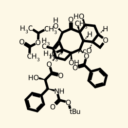 CC(=O)OC(C)C.CC(=O)O[C@@]12CO[C@@H]1C[C@H](O)[C@@]1(C)C(=O)[C@H](O)C3=C(C)[C@@H](OC(=O)[C@H](O)[C@@H](NC(=O)OC(C)(C)C)c4ccccc4)C[C@@](O)([C@@H](OC(=O)c4ccccc4)[C@H]21)C3(C)C